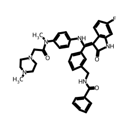 CN1CCN(CC(=O)N(C)c2ccc(NC(=C3C(=O)Nc4cc(F)ccc43)c3cccc(CNC(=O)c4ccccc4)c3)cc2)CC1